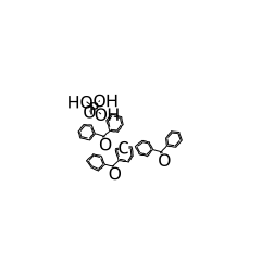 O=C(c1ccccc1)c1ccccc1.O=C(c1ccccc1)c1ccccc1.O=C(c1ccccc1)c1ccccc1.O=P(O)(O)O